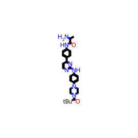 CC(N)C(=O)Nc1ccc(-c2ccnc(Nc3ccc(N4CCN(C(=O)C(C)(C)C)CC4)cc3)n2)cc1